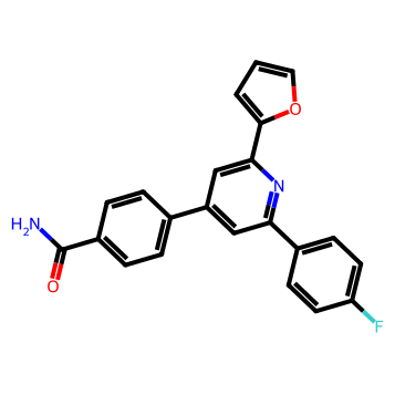 NC(=O)c1ccc(-c2cc(-c3ccc(F)cc3)nc(-c3ccco3)c2)cc1